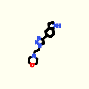 c1cc2cc(-c3cn(CCN4CCOCC4)nn3)ccc2[nH]1